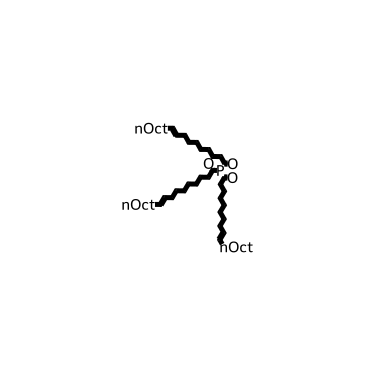 CCCCCCCCC=CCCCCCCCC(=O)P(C(=O)CCCCCCCC=CCCCCCCCC)C(=O)CCCCCCCC=CCCCCCCCC